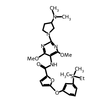 CC[Si](C)(C)c1cccc(Oc2ccc(C(=O)Nc3c(OC)nc(N4CCC(N(C)C)C4)nc3OC)o2)c1